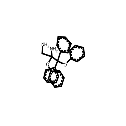 NCC(N)(Oc1ccccc1)C(Oc1ccccc1)(c1ccccc1)c1ccccc1